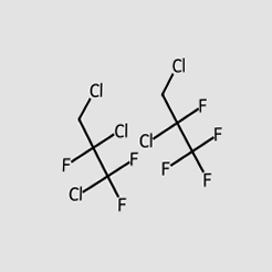 FC(F)(Cl)C(F)(Cl)CCl.FC(F)(F)C(F)(Cl)CCl